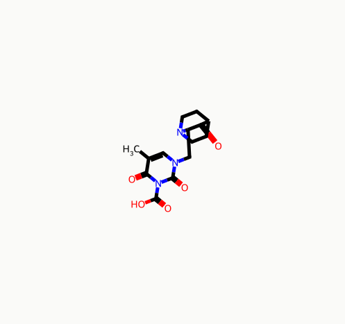 Cc1cn(CC2C(=O)C3CCN2CC3)c(=O)n(C(=O)O)c1=O